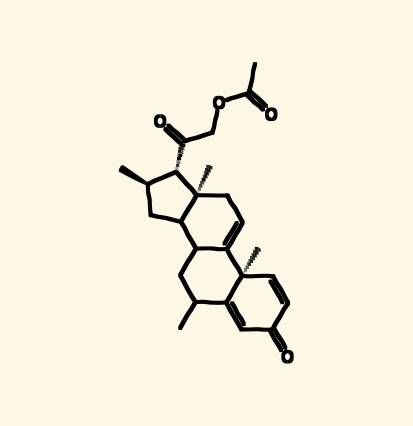 CC(=O)OCC(=O)[C@H]1[C@H](C)CC2C3CC(C)C4=CC(=O)C=C[C@]4(C)C3=CC[C@@]21C